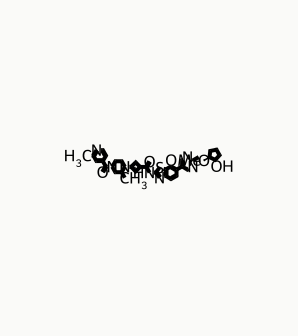 COc1c(-c2cnc(CO[C@H]3CCC[C@@H]3O)nc2)ccc2nc(NC(=O)C3CC(N4CCN(C(=O)c5ccnc(C)c5)CC4C)C3)sc12